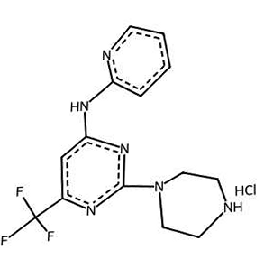 Cl.FC(F)(F)c1cc(Nc2ccccn2)nc(N2CCNCC2)n1